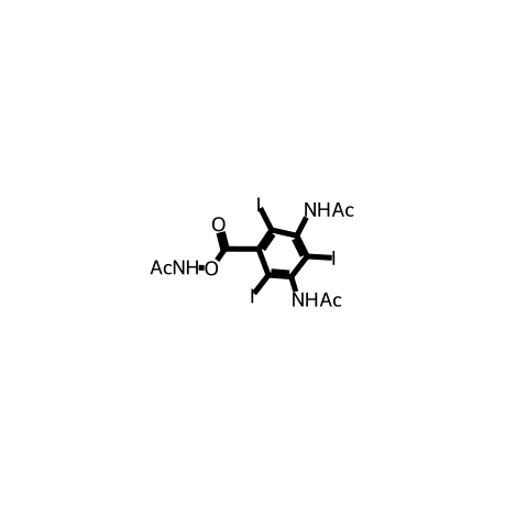 CC(=O)NOC(=O)c1c(I)c(NC(C)=O)c(I)c(NC(C)=O)c1I